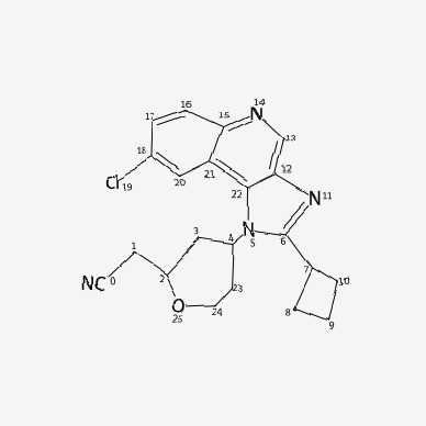 N#CCC1CC(n2c(C3CCC3)nc3cnc4ccc(Cl)cc4c32)CCO1